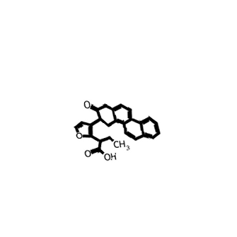 CCC(C(=O)O)c1occc1C1Cc2c(ccc3c2ccc2ccccc23)CC1=O